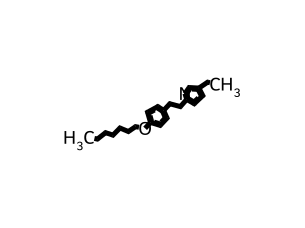 CCCCCCCOc1ccc(CCc2ccc(CC)cn2)cc1